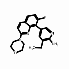 CCc1cc(-c2c(F)ccc3ccc(N4CCOCC4)nc23)cnc1N